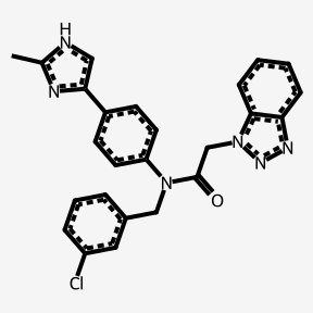 Cc1nc(-c2ccc(N(Cc3cccc(Cl)c3)C(=O)Cn3nnc4ccccc43)cc2)c[nH]1